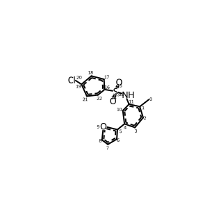 Cc1ccc(-c2ccco2)cc1NS(=O)(=O)c1ccc(Cl)cc1